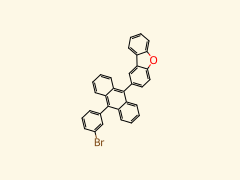 Brc1cccc(-c2c3ccccc3c(-c3ccc4oc5ccccc5c4c3)c3ccccc23)c1